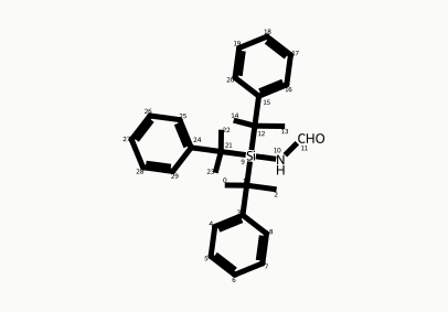 CC(C)(c1ccccc1)[Si](NC=O)(C(C)(C)c1ccccc1)C(C)(C)c1ccccc1